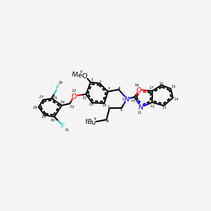 COc1cc(CN(CC[CH]C(C)(C)C)c2nc3ccccc3o2)ccc1OCc1c(F)cccc1F